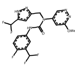 COc1cc(N(Cc2cc(C(F)F)[nH]n2)C(=O)Nc2ccc(F)c(C(F)F)c2)cnn1